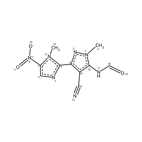 Cn1nc(-c2ncc([N+](=O)[O-])n2C)c(C#N)c1NC=O